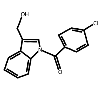 O=C(c1ccc(Cl)cc1)n1cc(CO)c2ccccc21